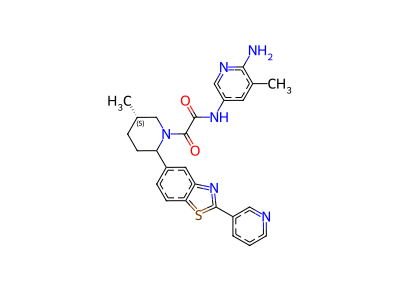 Cc1cc(NC(=O)C(=O)N2C[C@@H](C)CCC2c2ccc3sc(-c4cccnc4)nc3c2)cnc1N